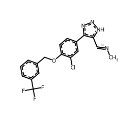 C/N=C/c1[nH]nnc1-c1ccc(OCc2cccc(C(F)(F)F)c2)c(Cl)c1